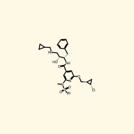 CC(C)S(=O)(=O)N(C)c1cc(C(=O)N[C@@H](Cc2ccccc2)[C@H](O)CNCC2CC2)cc(OC[C@H]2C[C@@H]2Cl)n1